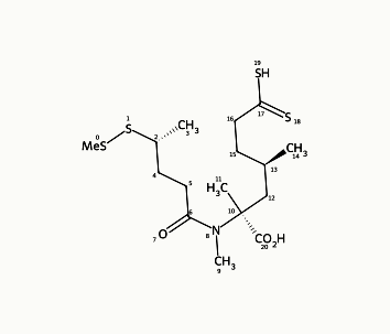 CSS[C@H](C)CCC(=O)N(C)[C@@](C)(C[C@H](C)CCC(=S)S)C(=O)O